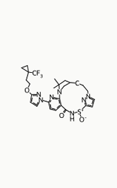 CC1(C)CC2CCCn3ccc(n3)[S+]([O-])NC(=O)c3ccc(-n4ccc(OCCC5(C(F)(F)F)CC5)n4)nc3N1C2